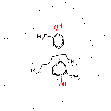 CCCCC(CC)(c1ccc(O)c(C)c1)c1ccc(O)c(C)c1